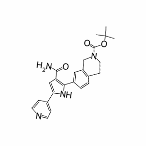 CC(C)(C)OC(=O)N1CCc2ccc(-c3[nH]c(-c4ccncc4)cc3C(N)=O)cc2C1